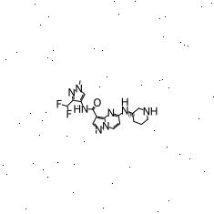 Cn1cc(NC(=O)c2cnn3ccc(N[C@@H]4CCCNC4)nc23)c(C(F)F)n1